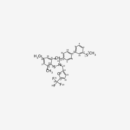 CSc1cccc(-c2ccc(CN(Cc3ccc(C(F)(F)F)o3)Sc3c(C)cc(C)cc3C)cc2)c1